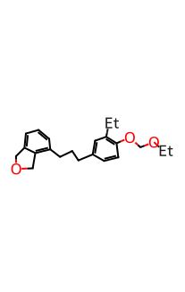 CCOCOc1ccc(CCCc2cccc3c2COC3)cc1CC